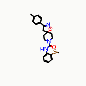 CSc1ccccc1NC(=O)N1CCC2(CC1)CC(c1ccc(C)cc1)=NO2